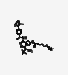 Cc1ncsc1-c1ccc([C@H](C)NC(=O)C2C[C@@H](OC(=O)CCCCN=[N+]=[N-])CN2C(=O)[C@@H](N)C(C)(C)C)cc1